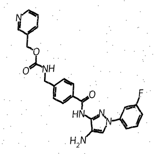 Nc1cn(-c2cccc(F)c2)nc1NC(=O)c1ccc(CNC(=O)OCc2cccnc2)cc1